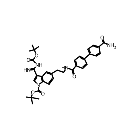 CC(C)(C)OC(=O)NC(=N)c1cn(C(=O)OC(C)(C)C)c2ccc(CCNC(=O)c3ccc(-c4ccc(C(N)=O)cc4)cc3)cc12